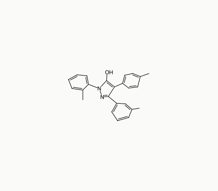 Cc1ccc(-c2c(-c3cccc(C)c3)nn(-c3ccccc3C)c2O)cc1